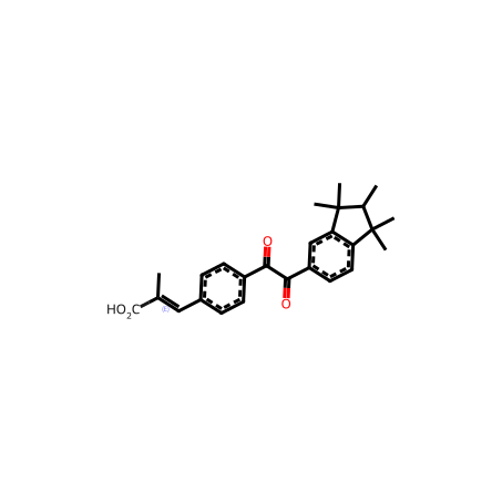 C/C(=C\c1ccc(C(=O)C(=O)c2ccc3c(c2)C(C)(C)C(C)C3(C)C)cc1)C(=O)O